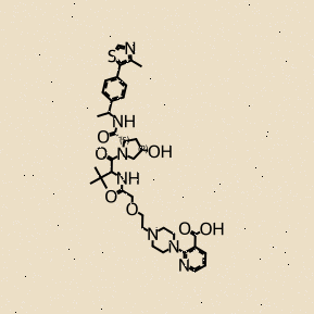 Cc1ncsc1-c1ccc(C(C)NC(=O)[C@@H]2C[C@@H](O)CN2C(=O)C(NC(=O)COCCN2CCN(c3ncccc3C(=O)O)CC2)C(C)(C)C)cc1